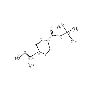 CC(C)(C)OC(=O)N1CCC([C@H](O)CO)CC1